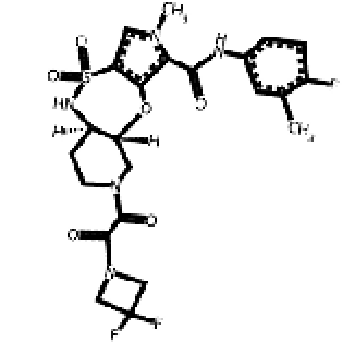 Cc1cc(NC(=O)c2c3c(cn2C)S(=O)(=O)N[C@@H]2CCN(C(=O)C(=O)N4CC(F)(F)C4)C[C@H]2O3)ccc1F